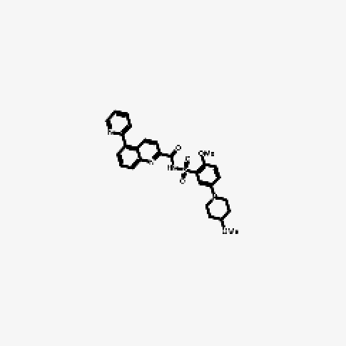 COc1ccc(N2CCC(OC)CC2)cc1S(=O)(=O)NC(=O)c1ccc2c(-c3ccccn3)cccc2n1